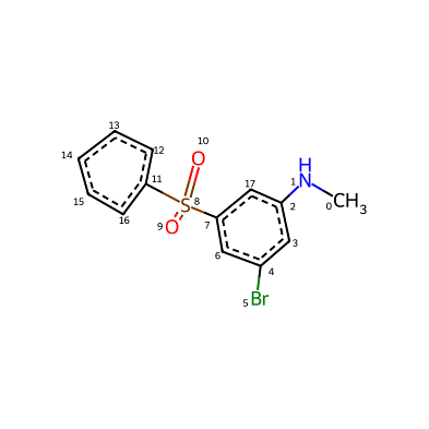 CNc1cc(Br)cc(S(=O)(=O)c2ccccc2)c1